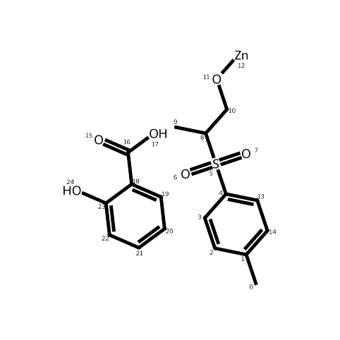 Cc1ccc(S(=O)(=O)C(C)C[O][Zn])cc1.O=C(O)c1ccccc1O